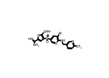 CSc1sc(C(=N)N)cc1S(=O)(=O)c1cnc(NCc2ccc(C(F)(F)F)nc2)c(Br)c1